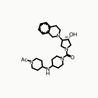 CC(=O)N1CCC(NC2CCN(C(=O)N3CC(N4CCc5ccccc5C4)[C@H](O)C3)CC2)CC1